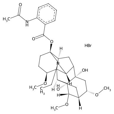 Br.CCN1C[C@]2(OC(=O)c3ccccc3NC(C)=O)CC[C@H](OC)C34[C@H]1C(C[C@@H]32)[C@@]1(O)C[C@H](OC)[C@H]2C[C@@H]4[C@]1(O)[C@H]2OC